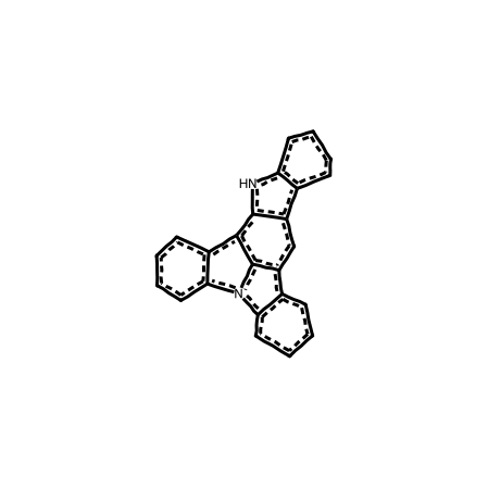 c1ccc2c(c1)[nH]c1c2cc2c3ccccc3n3c4ccccc4c1c23